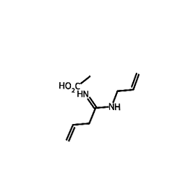 C=CCNC(=N)CC=C.CC(=O)O